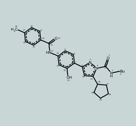 CCC(C)NC(=O)n1nc(-c2ccc(NC(=O)c3ccc(C)cc3)cc2O)cc1C1CCCC1